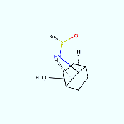 CC(C)(C)[S@+]([O-])N[C@H]1C2CCC(CC2)[C@H]1C(=O)O